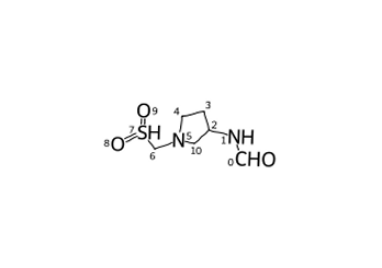 O=CNC1CCN(C[SH](=O)=O)C1